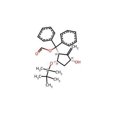 C=C1[C@H](O)C[C@H](O[Si](C)(C)C(C)(C)C)[C@@H]1C(OC=O)(c1ccccc1)c1ccccc1